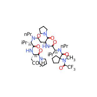 CCCN(C(=O)C[C@H](NC(=O)[C@H](C(C)C)N(CCC)C(=O)C1(N(C)C(=O)C(F)(F)F)CCCC1)C(=O)N1CCCC1)[C@H](C(=O)N[C@@H](CC(=O)O)C(=O)N1CCCC1)C(C)C